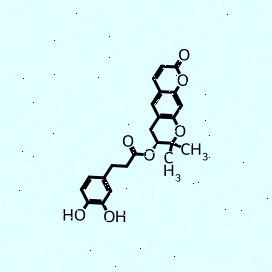 CC1(C)Oc2cc3oc(=O)ccc3cc2C[C@@H]1OC(=O)CCc1ccc(O)c(O)c1